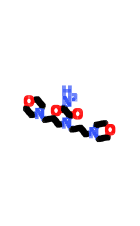 NC(=O)C(=O)N(CCCN1CCOCC1)CCCN1CCOCC1